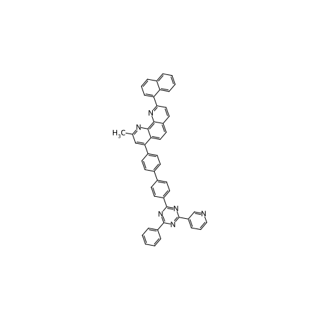 Cc1cc(-c2ccc(-c3ccc(-c4nc(-c5ccccc5)nc(-c5cccnc5)n4)cc3)cc2)c2ccc3ccc(-c4cccc5ccccc45)nc3c2n1